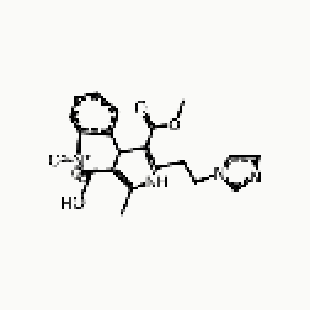 COC(=O)C1=C(CCn2ccnc2)NC(C)=C(C(=O)O)C1c1ccccc1[N+](=O)[O-]